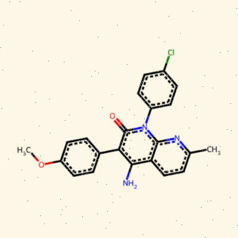 COc1ccc(-c2c(N)c3ccc(C)nc3n(-c3ccc(Cl)cc3)c2=O)cc1